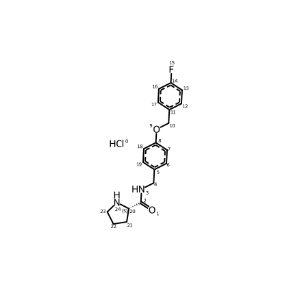 Cl.O=C(NCc1ccc(OCc2ccc(F)cc2)cc1)[C@@H]1CCCN1